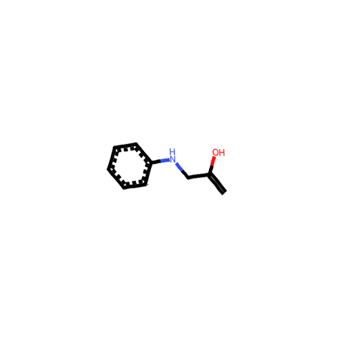 C=C(O)CNc1[c]cccc1